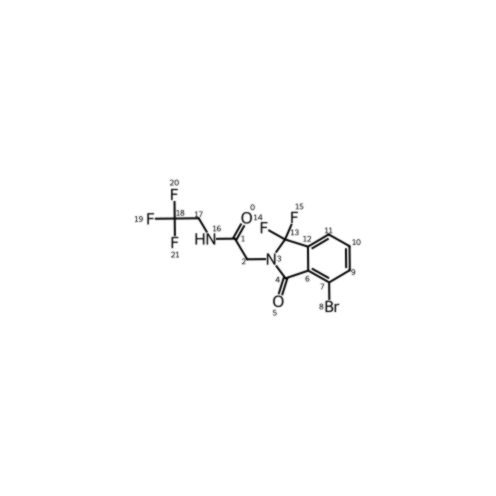 O=C(CN1C(=O)c2c(Br)cccc2C1(F)F)NCC(F)(F)F